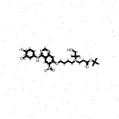 CC(C)(C)OC(=O)CCN(CCCCOc1cc2ncnc(Nc3ccc(F)c(Cl)c3)c2cc1[N+](=O)[O-])C(C)(C)CO